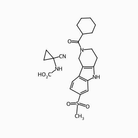 CS(=O)(=O)c1ccc2c3c([nH]c2c1)CCN(C(=O)C1CCCCC1)C3.N#CC1(NC(=O)O)CC1